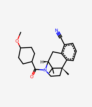 COC1CCC(C(=O)N2CC[C@@]3(C)c4cccc(C#N)c4C[C@@H]2C3(C)C)CC1